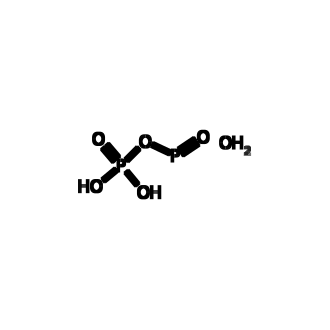 O.O=POP(=O)(O)O